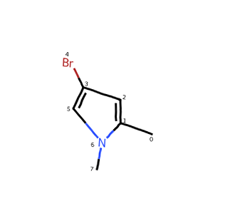 Cc1cc(Br)cn1C